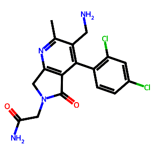 Cc1nc2c(c(-c3ccc(Cl)cc3Cl)c1CN)C(=O)N(CC(N)=O)C2